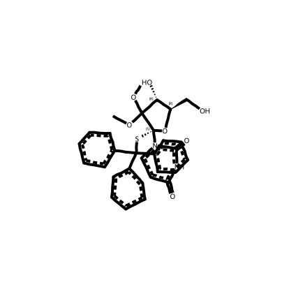 COC1(OC)[C@H](O)[C@@H](CO)O[C@@]1(SC(c1ccccc1)(c1ccccc1)c1ccccc1)n1ccc(=O)[nH]c1=O